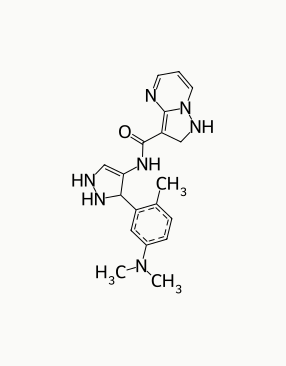 Cc1ccc(N(C)C)cc1C1NNC=C1NC(=O)C1=C2N=CC=CN2NC1